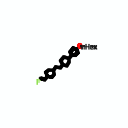 CCCCCCOc1ccc(C2CCC(CCC3CCC(C=CF)CC3)CC2)cc1